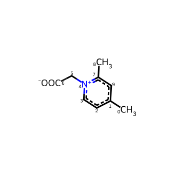 Cc1cc[n+](CC(=O)[O-])c(C)c1